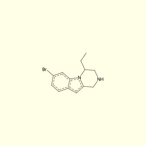 CCC1CNCc2cc3ccc(Br)cc3n21